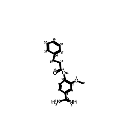 COc1cc(C(=N)N)ccc1OC(=O)CCc1ccccc1